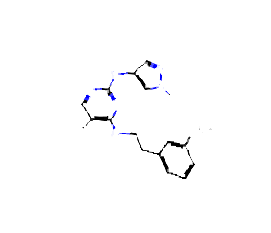 COc1cccc(CCNc2nc(Nc3cnn(C)c3)ncc2C(=O)O)c1